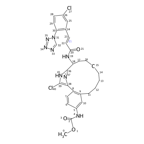 COC(=O)Nc1ccc2c(c1)CCCCCCCC(NC(=O)/C=C/c1cc(Cl)ccc1-n1cnnn1)c1nc-2c(Cl)[nH]1